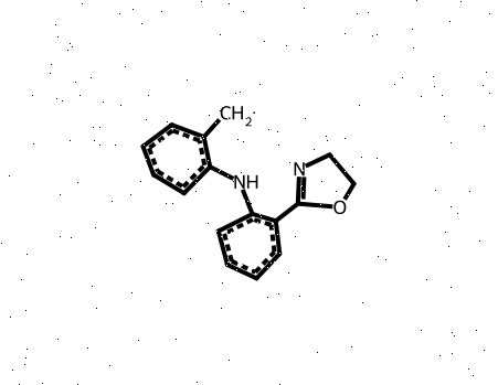 [CH2]c1ccccc1Nc1ccccc1C1=NCCO1